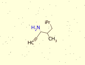 C#C[C@H](N)C(C)CC(C)C